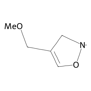 COCC1=CO[N]C1